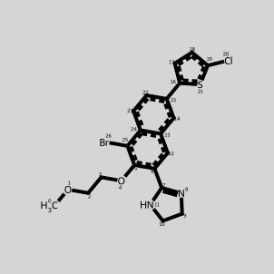 COCCOc1c(C2=NCCN2)cc2cc(-c3ccc(Cl)s3)ccc2c1Br